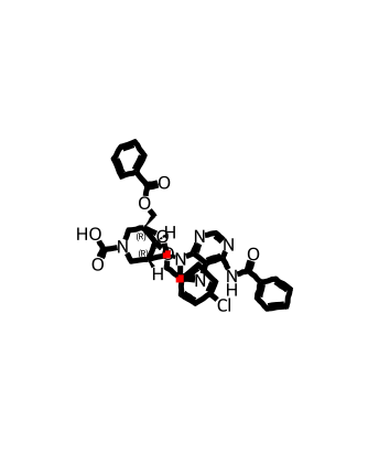 O=C(Nc1ncnc2c1ncn2[C@@H]1O[C@@]2(COC(=O)c3ccccc3)CN(C(=O)O)C[C@@H]1[C@@H]2OCc1ccc(Cl)cc1)c1ccccc1